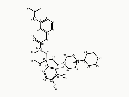 CC(C)Oc1cccc(CC(=O)N2CCC[C@@](CCN3CCN(C4CCCCC4)CC3)(c3ccc(Cl)c(Cl)c3)C2)c1